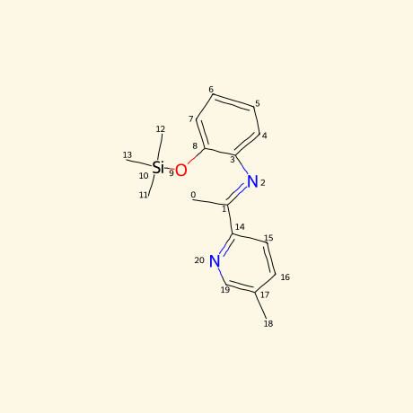 CC(=Nc1ccccc1O[Si](C)(C)C)c1ccc(C)cn1